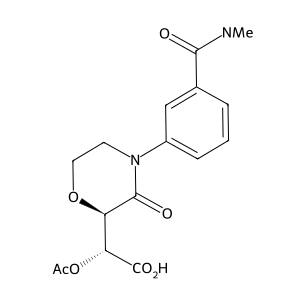 CNC(=O)c1cccc(N2CCO[C@H]([C@@H](OC(C)=O)C(=O)O)C2=O)c1